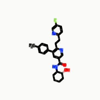 O=C(N[C@@H]1CCCC[C@H]1O)c1cnc(CCc2ccc(F)cn2)c(-c2ccc(C(F)(F)F)cc2)c1